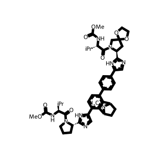 COC(=O)N[C@H](C(=O)N1CC2(C[C@H]1c1ncc(-c3ccc(-c4ccc(-c5cnc([C@@H]6CCCN6C(=O)[C@@H](NC(=O)OC)C(C)C)[nH]5)c5c4C4CCC5N4C)cc3)[nH]1)OCCO2)C(C)C